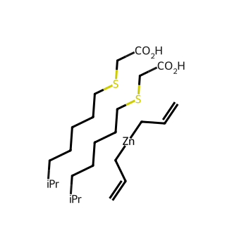 C=C[CH2][Zn][CH2]C=C.CC(C)CCCCCSCC(=O)O.CC(C)CCCCCSCC(=O)O